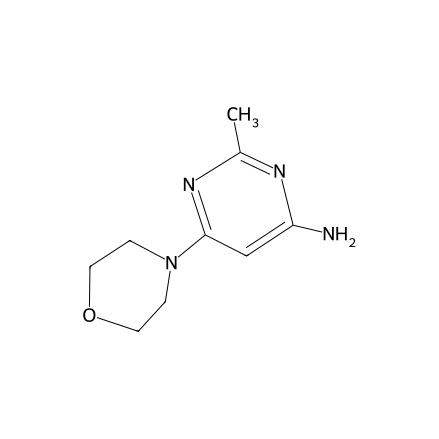 Cc1nc(N)cc(N2CCOCC2)n1